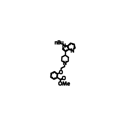 CCCCn1cc(C2CCN(CCOc3ccccc3C(=O)OC)CC2)c2ncccc21